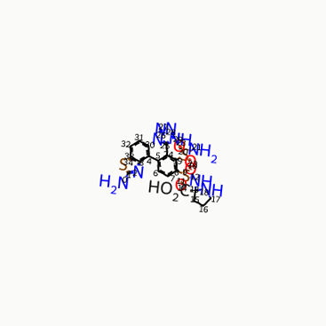 Nc1nc2c(-c3ccc(S(=O)(=O)N[C@@]4(C(=O)O)CCCN4)c(S(N)(=O)=O)c3-c3nnn[nH]3)cccc2s1